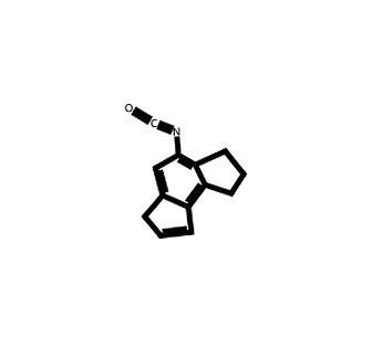 O=C=Nc1cc2c(c3c1CCC3)C=CC2